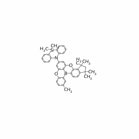 Cc1ccc2c(c1)B1c3ccc4c(c3Oc3cc(N5c6ccccc6[Si](C)(C)c6ccccc65)cc(c31)O2)C(C)(C)CC4(C)C